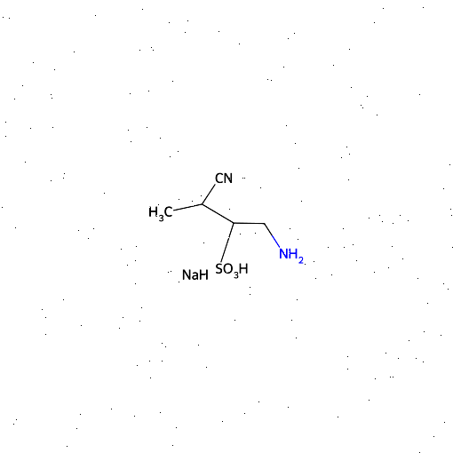 CC(C#N)C(CN)S(=O)(=O)O.[NaH]